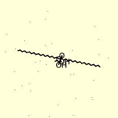 CCC(O)O.CCCCCCCCCCCCCCCCCCOC(=O)CCCCCCCCCCCCCCCCC